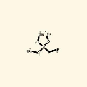 CC(C)C[Si](OC(C)(C)C)(OC(C)(C)C)OC(C)(C)C